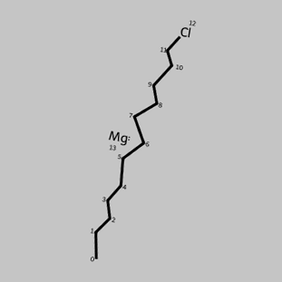 CCCCCCCCCCCCCl.[Mg]